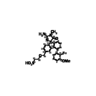 COc1cccc(-c2cccc(C3(c4ccc(COCCS(=O)(=O)O)cc4)N=C(N)N(C)C3=O)c2)c1F